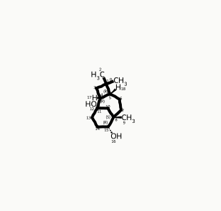 CC1(C)C[C@@H]2[C@H]1CC[C@@]1(C)C[C@]2(O)CC[C@H]1O